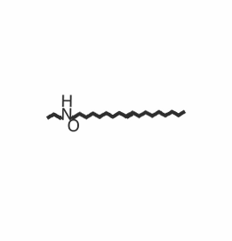 CCCCCCCCC=CCCCCCCCC(=O)NCCC